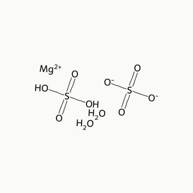 O.O.O=S(=O)(O)O.O=S(=O)([O-])[O-].[Mg+2]